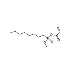 C=CC(=O)OP(=O)(CCCCCCCC)OC